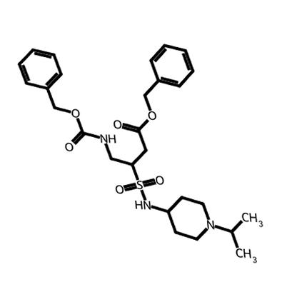 CC(C)N1CCC(NS(=O)(=O)C(CNC(=O)OCc2ccccc2)CC(=O)OCc2ccccc2)CC1